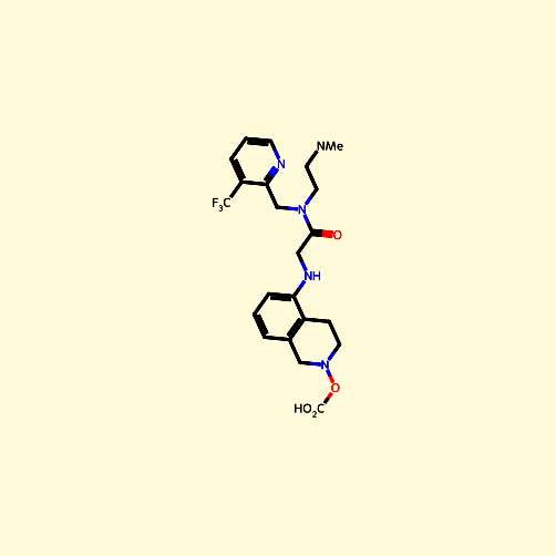 CNCCN(Cc1ncccc1C(F)(F)F)C(=O)CNc1cccc2c1CCN(OC(=O)O)C2